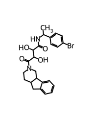 CC(NC(=O)C(O)C(O)C(=O)N1CCC2Cc3ccccc3C2C1)c1ccc(Br)cc1